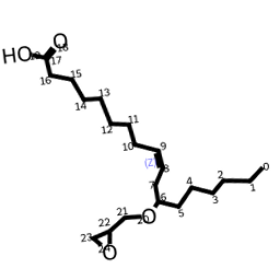 CCCCCCC(C/C=C\CCCCCCCC(=O)O)OCC1CO1